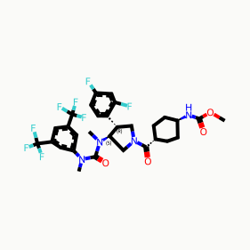 COC(=O)N[C@H]1CC[C@H](C(=O)N2C[C@@H](N(C)C(=O)N(C)c3cc(C(F)(F)F)cc(C(F)(F)F)c3)[C@H](c3ccc(F)cc3F)C2)CC1